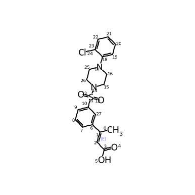 C/C(=C\C(=O)O)c1cccc(S(=O)(=O)N2CCN(c3ccccc3Cl)CC2)c1